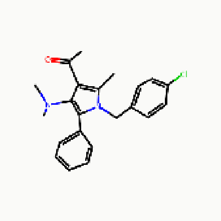 CC(=O)c1c(N(C)C)c(-c2ccccc2)n(Cc2ccc(Cl)cc2)c1C